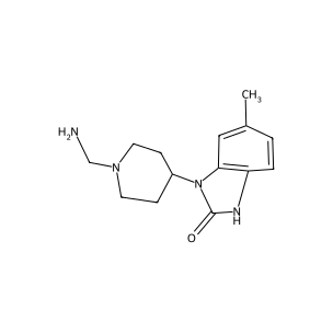 Cc1ccc2[nH]c(=O)n(C3CCN(CN)CC3)c2c1